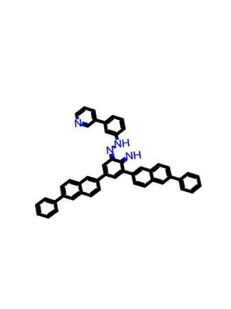 N=C1C(c2ccc3cc(-c4ccccc4)ccc3c2)=CC(c2ccc3cc(-c4ccccc4)ccc3c2)=C/C1=N/Nc1cccc(-c2cccnc2)c1